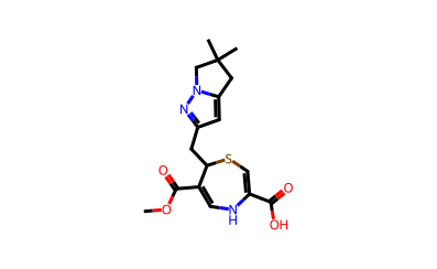 COC(=O)C1=CNC(C(=O)O)=CSC1Cc1cc2n(n1)CC(C)(C)C2